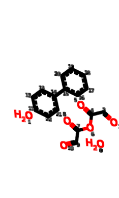 O.O.O=CC(=O)OC(=O)C=O.c1ccc(-c2ccccc2)cc1